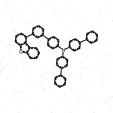 c1ccc(-c2ccc(N(c3ccc(-c4ccccc4)cc3)c3ccc(-c4cccc(-c5cccc6oc7ccccc7c56)c4)cc3)cc2)cc1